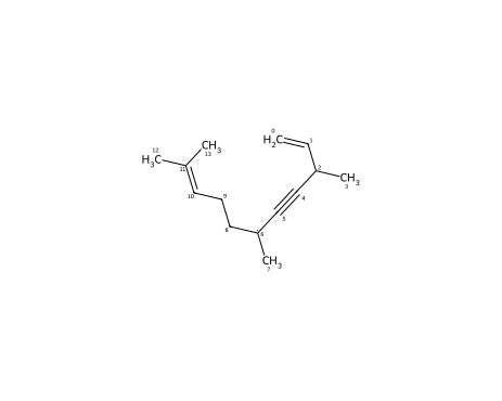 C=CC(C)C#C[C](C)CCC=C(C)C